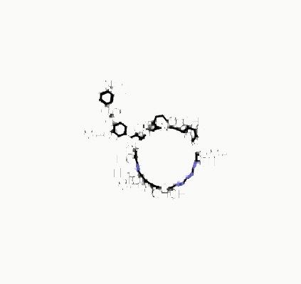 CO[C@H]1C[C@@H]2CC[C@@H](C)[C@@](O)(O2)C(=O)C(=O)N2CCCC[C@H]2C(=O)O[C@H]([C@H](C)C[C@@H]2CC[C@@H](OC(=O)Oc3ccc([N+](=O)[O-])cc3)[C@H](OC)C2)CC(=O)[C@H](C)/C=C(\C)[C@@H](O)[C@@H](OC)C(=O)[C@H](C)C[C@H](C)/C=C/C=C/C=C/1C